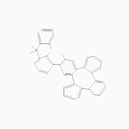 Cc1cc2c(cc1-c1cccc3c1Oc1ccccc1C3(C)C)-c1ccccc1-c1ccccc1-c1ccccc1-2